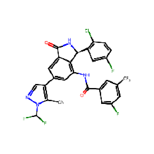 N#Cc1c(-c2cc(NC(=O)c3cc(F)cc(C(F)(F)F)c3)c3c(c2)C(=O)N[C@H]3c2cc(F)ccc2Cl)cnn1C(F)F